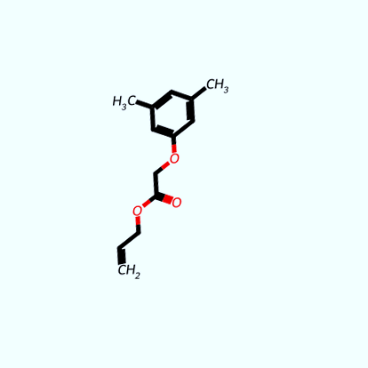 C=CCOC(=O)COc1cc(C)cc(C)c1